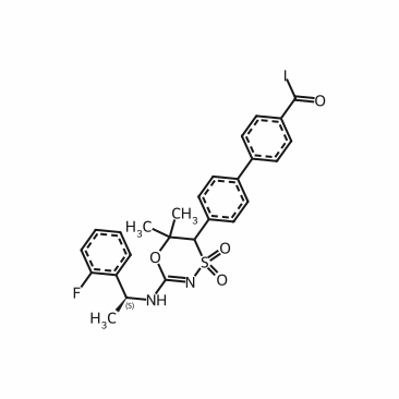 C[C@H](NC1=NS(=O)(=O)C(c2ccc(-c3ccc(C(=O)I)cc3)cc2)C(C)(C)O1)c1ccccc1F